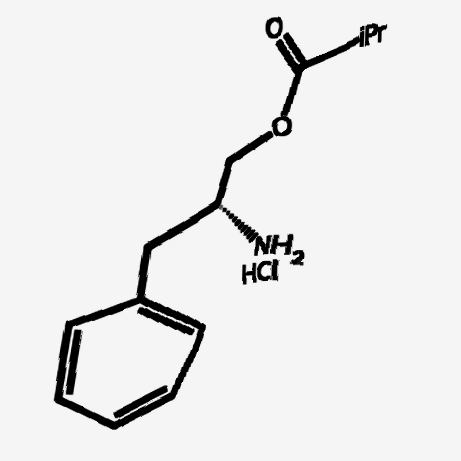 CC(C)C(=O)OC[C@H](N)Cc1ccccc1.Cl